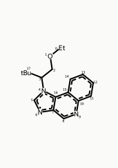 CCOCC(n1cnc2cnc3ccccc3c21)C(C)(C)C